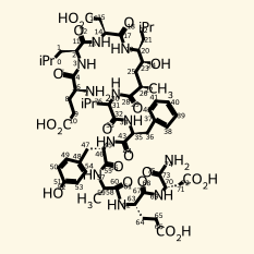 CC(C)C[C@H](NC(=O)[C@@H](N)CCC(=O)O)C(=O)N[C@@H](CC(=O)O)C(=O)N[C@@H](CC(C)C)[C@@H](O)C[C@@H](C)C(=O)NC(C(=O)N[C@@H](Cc1ccccc1)C(=O)N[C@@H](Cc1ccc(O)cc1)C(=O)N[C@@H](C)C(=O)N[C@@H](CCC(=O)O)C(=O)N[C@@H](CC(=O)O)C(N)=O)C(C)C